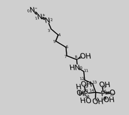 [N-]=[N+]=NCCCCC[C@@H](O)NCCCC(O)(P(=O)(O)O)[PH](O)(O)O